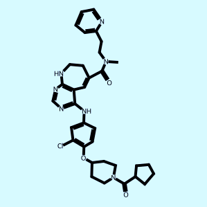 CN(CCc1ccccn1)C(=O)C1=Cc2c(ncnc2Nc2ccc(OC3CCN(C(=O)C4CCCC4)CC3)c(Cl)c2)NCC1